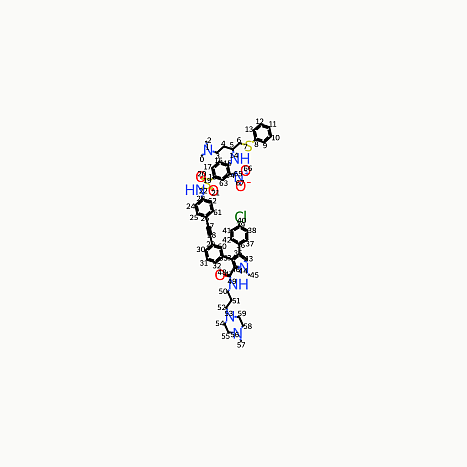 CN(C)CCC(CSc1ccccc1)Nc1ccc(S(=O)(=O)Nc2ccc(C#Cc3cccc(-c4c(-c5ccc(Cl)cc5)cn(C)c4C(=O)NCCCN4CCN(C)CC4)c3)cc2)cc1[N+](=O)[O-]